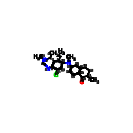 CCN(C)/C=N\c1cc(C)c(N(C)c2ccc3c(c2)CCC(C)C3=O)cc1Cl